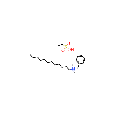 CCCCCCCCCCCC[N+](C)(C)Cc1ccccc1.CCS(=O)(=O)O